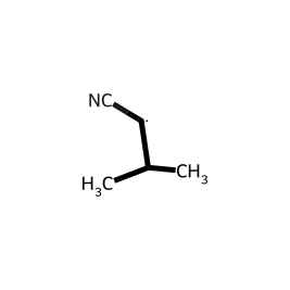 CC(C)[CH]C#N